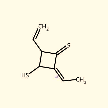 C=CC1C(=S)/C(=C\C)C1S